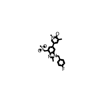 Cc1cc(-c2cc(CS(C)(=O)=O)c3nc(C)n(Cc4ccc(F)cc4)c3c2)cn(C)c1=O